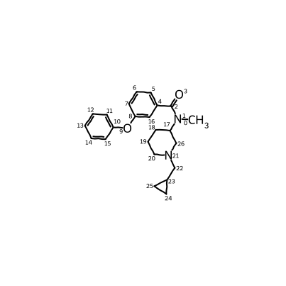 CN(C(=O)c1cccc(Oc2ccccc2)c1)C1CCCN(CC2CC2)C1